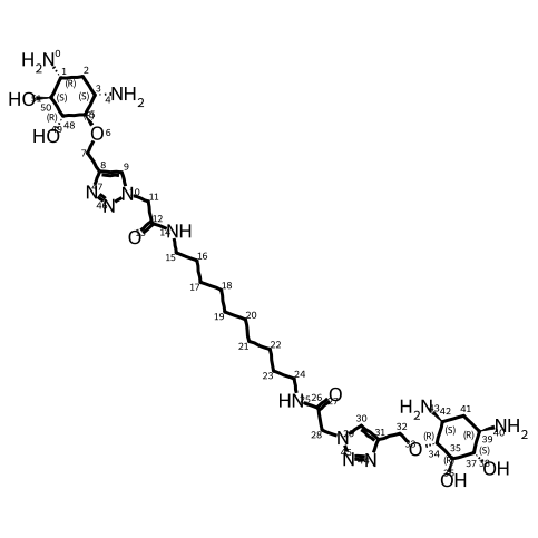 N[C@@H]1C[C@H](N)[C@@H](OCc2cn(CC(=O)NCCCCCCCCCCNC(=O)Cn3cc(CO[C@H]4[C@H](O)[C@@H](O)[C@H](N)C[C@@H]4N)nn3)nn2)[C@H](O)[C@H]1O